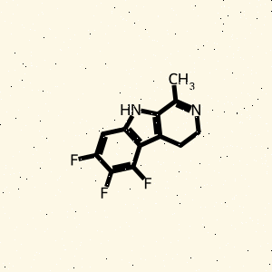 CC1=NCCc2c1[nH]c1cc(F)c(F)c(F)c21